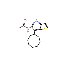 CC(=O)Nc1cnc2ccsc2c1C1CCCCCCC1